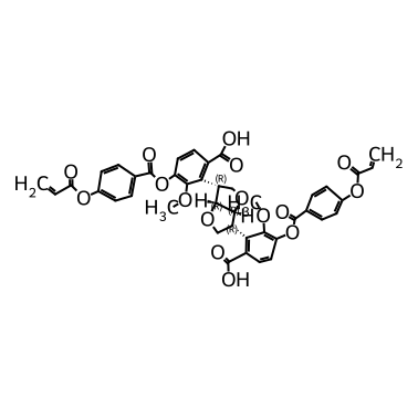 C=CC(=O)Oc1ccc(C(=O)Oc2ccc(C(=O)O)c([C@@H]3CO[C@H]4[C@@H]3OC[C@H]4c3c(C(=O)O)ccc(OC(=O)c4ccc(OC(=O)C=C)cc4)c3OC)c2OC)cc1